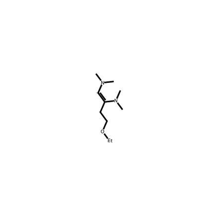 CCOCCC(=[C]N(C)C)N(C)C